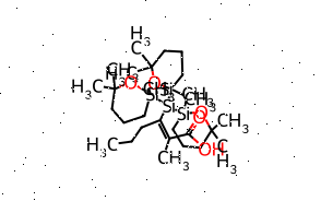 CCCC(=C(C)C(=O)O)[Si]([Si]1(C)CCCC(C)(C)O1)([Si]1(C)CCCC(C)(C)O1)[Si]1(C)CCCC(C)(C)O1